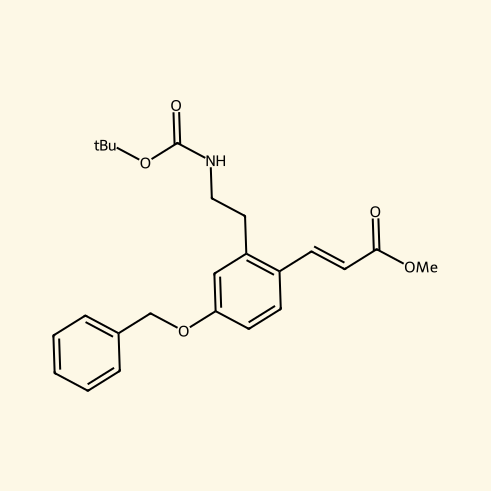 COC(=O)C=Cc1ccc(OCc2ccccc2)cc1CCNC(=O)OC(C)(C)C